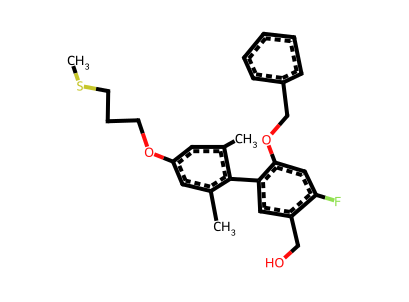 CSCCCOc1cc(C)c(-c2cc(CO)c(F)cc2OCc2ccccc2)c(C)c1